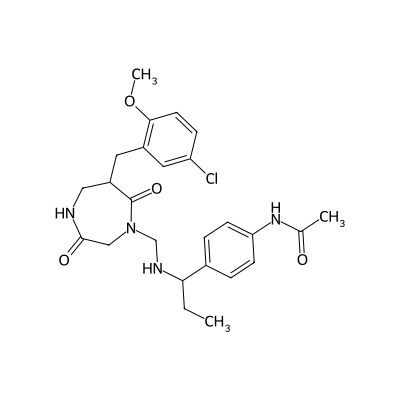 CCC(NCN1CC(=O)NCC(Cc2cc(Cl)ccc2OC)C1=O)c1ccc(NC(C)=O)cc1